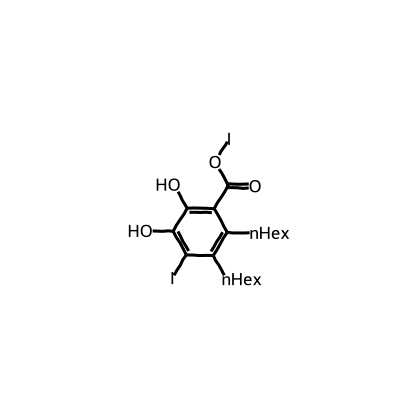 CCCCCCc1c(I)c(O)c(O)c(C(=O)OI)c1CCCCCC